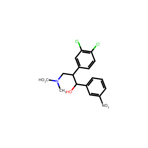 CN(CC(c1ccc(Cl)c(Cl)c1)C(O)c1cccc([N+](=O)[O-])c1)C(=O)O